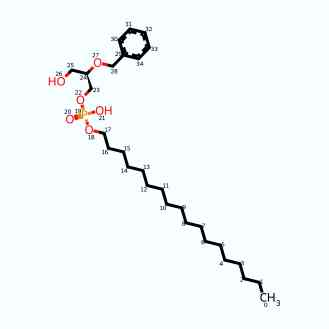 CCCCCCCCCCCCCCCCCCOP(=O)(O)OC[C@@H](CO)OCc1ccccc1